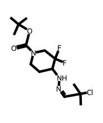 CC(C)(Cl)/C=N\NC1CCN(C(=O)OC(C)(C)C)CC1(F)F